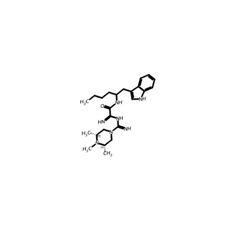 CCCCC(Cc1c[nH]c2ccccc12)NC(=O)C(=N)NC(=N)N1C[C@@H](C)N(C)[C@@H](C)C1